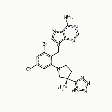 Nc1ncnc2c1ncn2Cc1c(Br)cc(Cl)cc1N1CC[C@](N)(c2nnn[nH]2)C1